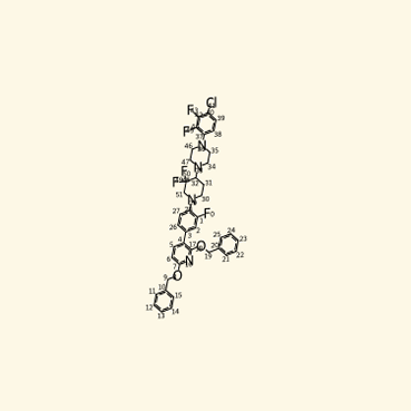 Fc1cc(-c2ccc(OCc3ccccc3)nc2OCc2ccccc2)ccc1N1CCC(N2CCN(c3ccc(Cl)c(F)c3F)CC2)C(F)(F)C1